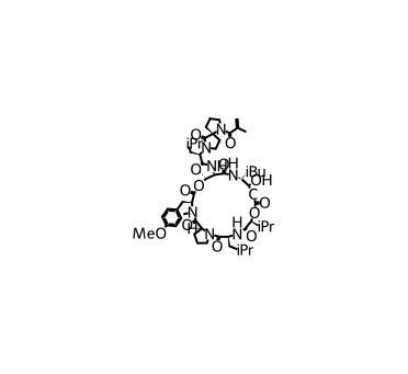 C=C(C)C(=O)N1CCC[C@]12CCN([C@H](CC(C)C)C(=O)N[C@@H]1C(=O)N[C@H]([C@@H](C)CC)[C@@H](O)CC(=O)O[C@@H](C(C)C)C(=O)N[C@@H](CC(C)C)C(=O)N3CCC[C@H]3C(=O)N(C)[C@@H](Cc3ccc(OC)cc3)C(=O)O[C@@H]1C)C2=O